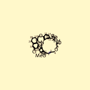 CO[C@H]1/C=C/COCC(=O)NS(=O)(=O)c2ccc3c(c2)N(C[C@@H]2CC[C@H]21)C[C@@]1(CCCc2cc(Cl)ccc21)CO3